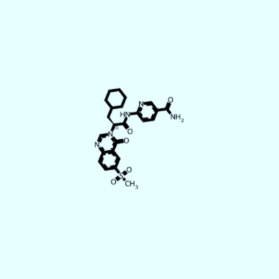 CS(=O)(=O)c1ccc2ncn([C@@H](CC3CCCCC3)C(=O)Nc3ccc(C(N)=O)cn3)c(=O)c2c1